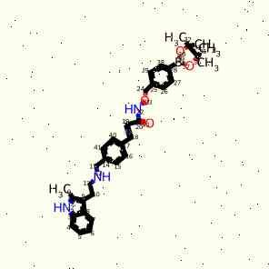 Cc1[nH]c2ccccc2c1CCNCc1ccc(/C=C/C(=O)NOCc2ccc(B3OC(C)(C)C(C)(C)O3)cc2)cc1